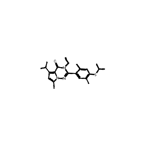 CCn1c(-c2cc(C)c(SC(C)C)cc2C)nn2c(C)cc(C(C)C)c2c1=O